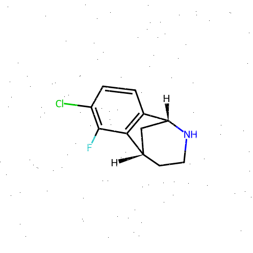 Fc1c(Cl)ccc2c1[C@H]1CCN[C@@H]2C1